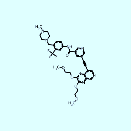 COCCOc1nc2cncc(C#Cc3cncc(C(=O)Nc4ccc(CN5CCN(C)CC5)c(C(F)(F)F)c4)c3)c2nc1OCCOC